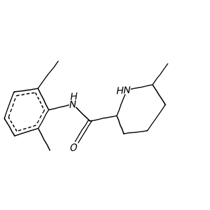 Cc1cccc(C)c1NC(=O)C1CCCC(C)N1